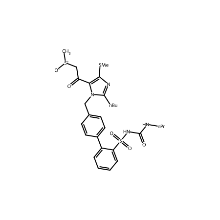 CCCCc1nc(SC)c(C(=O)C[S+](C)[O-])n1Cc1ccc(-c2ccccc2S(=O)(=O)NC(=O)NCCC)cc1